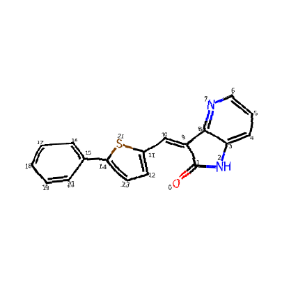 O=C1Nc2cccnc2C1=Cc1ccc(-c2ccccc2)s1